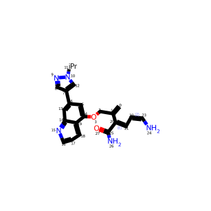 C=C(COc1cc(-c2cnn(C(C)C)c2)cc2ncccc12)/C(=C\C=C/N)C(N)=O